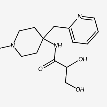 CN1CCC(Cc2ccccn2)(NC(=O)C(O)CO)CC1